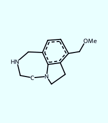 COCc1ccc2c3c1CCN3CCNC2